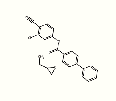 CCC1CO1.N#Cc1ccc(OC(=O)c2ccc(-c3ccccc3)cc2)cc1Cl